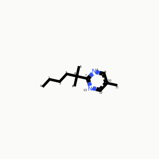 CCCCC(C)(C)c1ncc(C)cn1